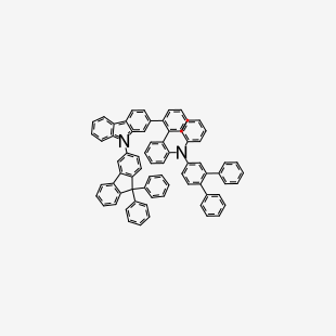 c1ccc(-c2ccc(N(c3ccccc3)c3ccccc3-c3ccccc3-c3ccc4c5ccccc5n(-c5ccc6c(c5)-c5ccccc5C6(c5ccccc5)c5ccccc5)c4c3)cc2-c2ccccc2)cc1